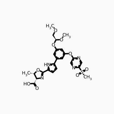 COC[C@@H](OC)Oc1cc(Oc2cnc(S(C)(=O)=O)cn2)cc(-c2ccc(C3=N[C@H](C(=O)O)[C@H](C)O3)[nH]2)c1